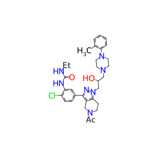 CCNC(=O)Nc1cc(-c2nn(CC(O)CN3CCN(c4ccccc4C)CC3)c3c2CN(C(C)=O)CC3)ccc1Cl